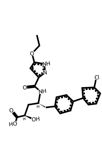 CCOc1cc(C(=O)N[C@H](Cc2ccc(-c3cccc(Cl)c3)cc2)C[C@@H](O)C(=O)O)n[nH]1